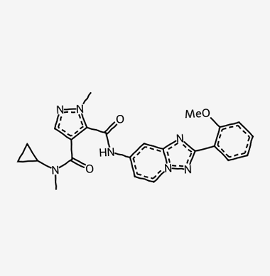 COc1ccccc1-c1nc2cc(NC(=O)c3c(C(=O)N(C)C4CC4)cnn3C)ccn2n1